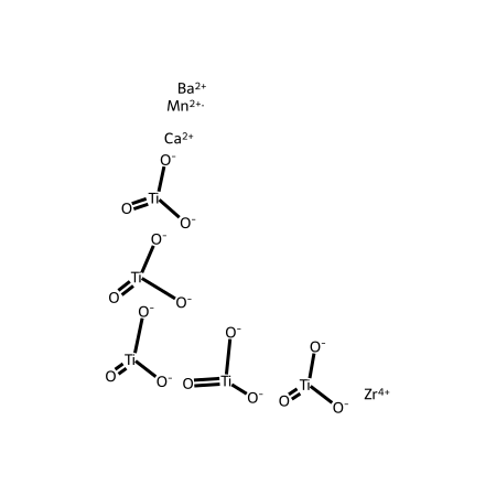 [Ba+2].[Ca+2].[Mn+2].[O]=[Ti]([O-])[O-].[O]=[Ti]([O-])[O-].[O]=[Ti]([O-])[O-].[O]=[Ti]([O-])[O-].[O]=[Ti]([O-])[O-].[Zr+4]